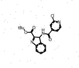 CC(C)(C)OC(=O)C1=Nc2ccccc2C1NC(=O)c1ccnc(Cl)c1